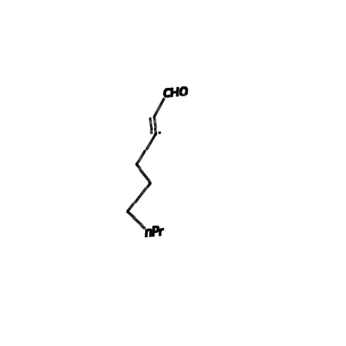 CCCCCC[C]=CC=O